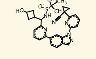 CC(C)(C)[S@@+]([O-])NC(c1cccc(-c2ccc3cnn(-c4cccc(C5(C#N)CC5)n4)c3c2)n1)C1CC(O)C1